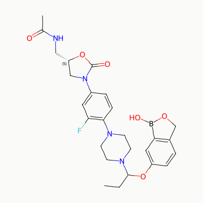 CCC(Oc1ccc2c(c1)B(O)OC2)N1CCN(c2ccc(N3C[C@H](CNC(C)=O)OC3=O)cc2F)CC1